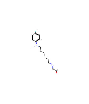 CN(CCCCCCNCCO)c1ccc(F)cc1